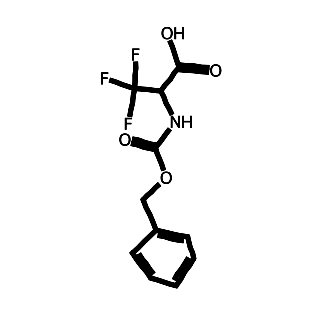 O=C(NC(C(=O)O)C(F)(F)F)OCc1ccccc1